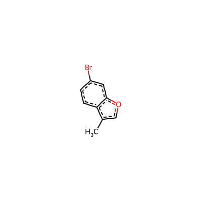 Cc1coc2cc(Br)ccc12